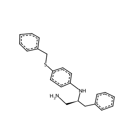 NC[C@H](Cc1ccccc1)Nc1ccc(SCc2ccccc2)cc1